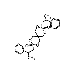 CC(CP1(=O)OCC2(CO1)COP(=O)(CC(C)c1ccccc1)OC2)c1ccccc1